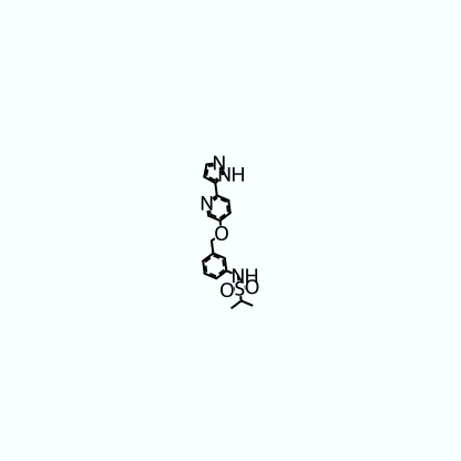 CC(C)S(=O)(=O)Nc1cccc(COc2ccc(-c3ccn[nH]3)nc2)c1